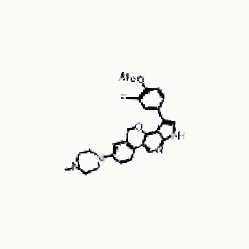 COc1ccc(-c2c[nH]c3ncc4c(c23)OCc2cc(N3CCN(C)CC3)ccc2-4)cc1F